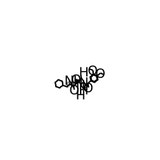 COc1ccc(C(=O)NNC(=O)C(O)[C@H](N)CC2CCCCC2)cc1OC